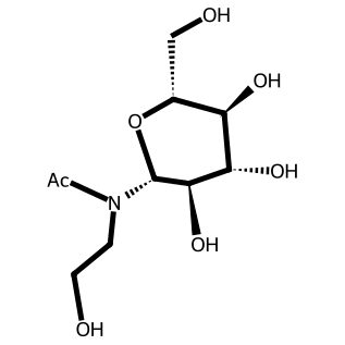 CC(=O)N(CCO)[C@@H]1O[C@H](CO)[C@@H](O)[C@H](O)[C@H]1O